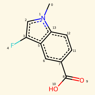 Cn1cc(F)c2cc(C(=O)O)ccc21